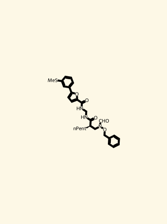 CCCCC[C@H](CN(C=O)OCc1ccccc1)C(=O)NCNC(=O)c1ccc(-c2cccc(SC)c2)o1